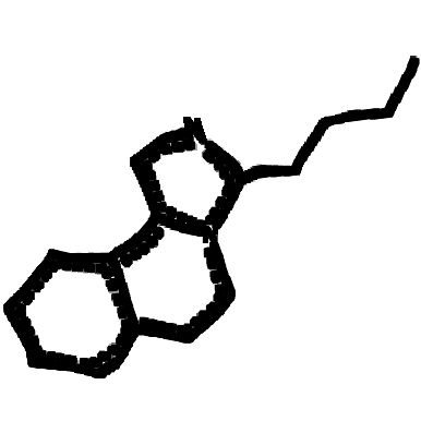 CCCCc1ncc2c3ccccc3ccn12